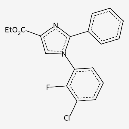 CCOC(=O)c1cn(-c2cccc(Cl)c2F)c(-c2ccccc2)n1